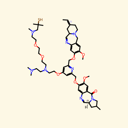 C/C=C1/CCN2Cc3cc(OC)c(OCc4cc(OCCN(CCOCCOCCN(C)CC(C)(C)S)CCN(C)C)cc(COc5cc6c(cc5OC)C(=O)N5CC(C)C[C@H]5C=N6)n4)cc3N=CC2C1